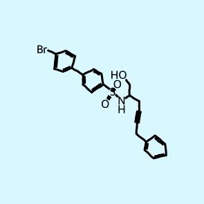 O=S(=O)(NC(CO)CC#CCc1ccccc1)c1ccc(-c2ccc(Br)cc2)cc1